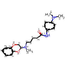 CN(C)c1ccc(NC(=O)CCCCN(C)C2COc3ccccc3O2)cc1